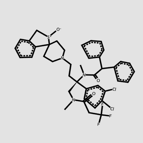 CN(C[C@](CCN1CCC2(CC1)c1ccccc1C[S+]2[O-])(c1ccc(Cl)c(Cl)c1)N(C)C(=O)C(c1ccccc1)c1ccccc1)C(=O)CC(F)(F)F